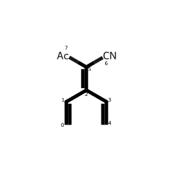 C=CC(C=C)=C(C#N)C(C)=O